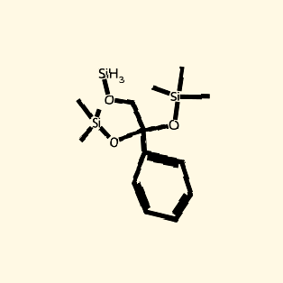 C[Si](C)(C)OC(CO[SiH3])(O[Si](C)(C)C)c1ccccc1